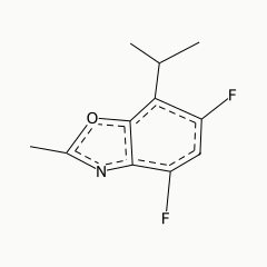 Cc1nc2c(F)cc(F)c(C(C)C)c2o1